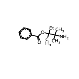 CCC(C)(OC(=O)c1ccccc1)C(C)(C)N